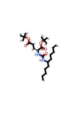 CCCCCC(CCCCC)NC(=O)N[C@@H](CCC(=O)OC(C)(C)C)C(=O)OC(C)(C)C